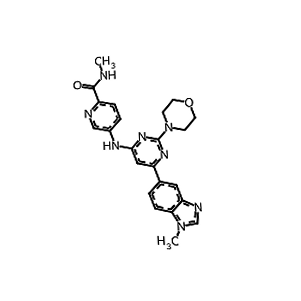 CNC(=O)c1ccc(Nc2cc(-c3ccc4c(c3)ncn4C)nc(N3CCOCC3)n2)cn1